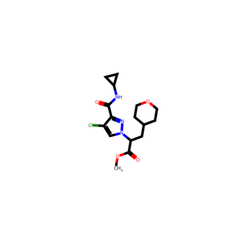 COC(=O)C(CC1CCOCC1)n1cc(Cl)c(C(=O)NC2CC2)n1